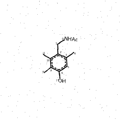 CC(=O)NCc1c(C)cc(O)c(C)c1C